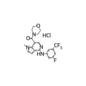 Cl.Cn1ccc2c(Nc3cc(F)cc(C(F)(F)F)c3)ncc(C(=O)N3CCOCC3)c21